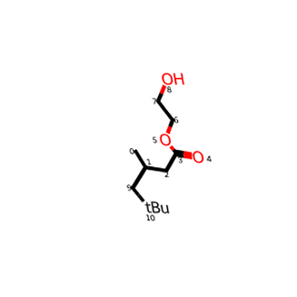 CC(CC(=O)OCCO)CC(C)(C)C